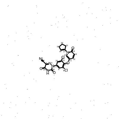 N#Cc1nn(-c2cc(Cl)c(Oc3ccc(=O)n(C4=CCCC4)c3)c(Cl)c2)c(=O)[nH]c1=O